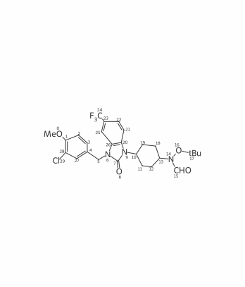 COc1ccc(Cn2c(=O)n(C3CCC(N(C=O)OC(C)(C)C)CC3)c3ccc(C(F)(F)F)cc32)cc1Cl